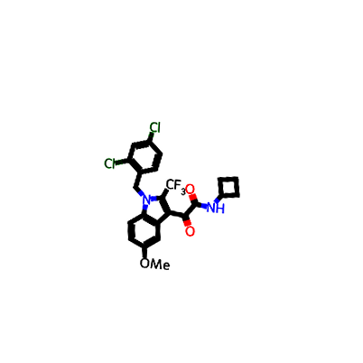 COc1ccc2c(c1)c(C(=O)C(=O)NC1CCC1)c(C(F)(F)F)n2Cc1ccc(Cl)cc1Cl